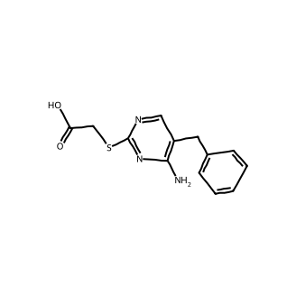 Nc1nc(SCC(=O)O)ncc1Cc1ccccc1